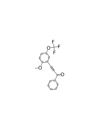 COc1ccc(OC(F)(F)F)cc1C#CC(=O)c1ccccc1